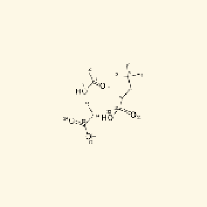 CC(=O)O.CC(C)(C)CCC(=O)O.CCC(=O)O